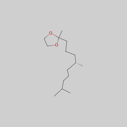 CC(C)CCC[C@@H](C)CCCC1(C)OCCO1